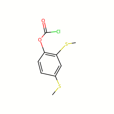 CSc1ccc(OC(=O)Cl)c(SC)c1